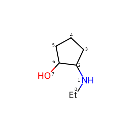 CCNC1CCCC1O